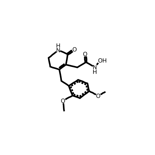 COc1ccc(CC2=C(CC(=O)NO)C(=O)NCC2)c(OC)c1